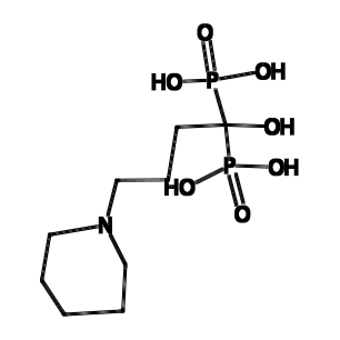 O=P(O)(O)C(O)(CCCN1CCCCC1)P(=O)(O)O